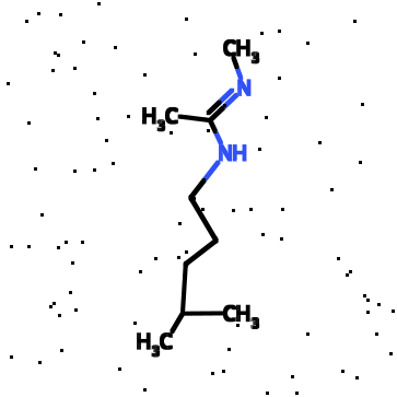 C/N=C(\C)NCCCC(C)C